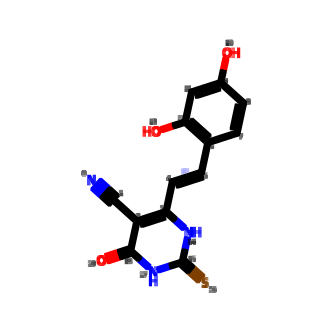 N#Cc1c(/C=C/c2ccc(O)cc2O)[nH]c(=S)[nH]c1=O